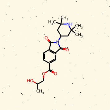 CC(O)COC(=O)c1ccc2c(c1)C(=O)N(C1CC(C)(C)NC(C)(C)C1)C2=O